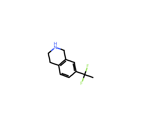 CC(F)(F)c1ccc2c(c1)CNCC2